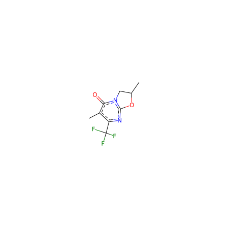 Cc1c(C(F)(F)F)nc2n(c1=O)CC(C)O2